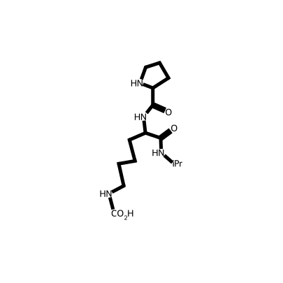 CC(C)NC(=O)C(CCCCNC(=O)O)NC(=O)C1CCCN1